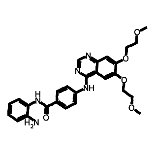 COCCOc1cc2ncnc(Nc3ccc(C(=O)Nc4ccccc4N)cc3)c2cc1OCCOC